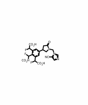 N#Cc1cncn1CN1CC(c2cc(C(F)C(=O)O)c(C(F)C(=O)O)c(C(F)C(=O)O)c2)CC1=O